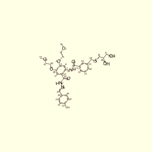 COCCOc1cc(NC(=O)c2cccc(CSCC(O)CO)c2)c(C(=O)N/N=C/c2ccc(C)cc2)cc1OCCOC